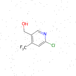 OCc1cnc(Cl)cc1C(F)(F)F